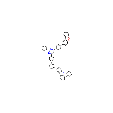 c1ccc(-c2nc(-c3ccc(-c4cccc(-c5ccc6c(c5)c5cccc7c8ccccc8n6c75)c4)cc3)cc(-c3ccc(-c4ccc5oc6ccccc6c5c4)cc3)n2)cc1